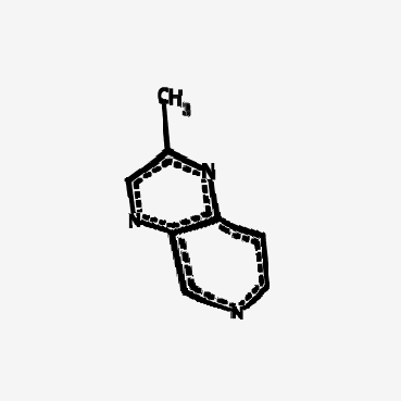 Cc1cnc2cnccc2n1